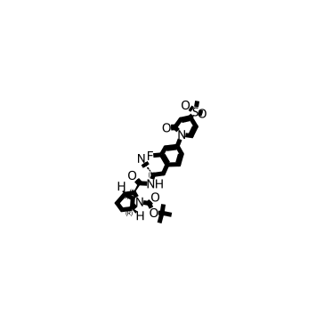 CC(C)(C)OC(=O)N1[C@@H]2CC[C@@H](C2)[C@H]1C(=O)N[C@H](C#N)Cc1ccc(-n2ccc(S(C)(=O)=O)cc2=O)cc1F